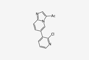 CC(=O)c1cnc2ccc(-c3cccnc3Cl)cn12